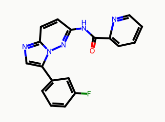 O=C(Nc1ccc2ncc(-c3cccc(F)c3)n2n1)c1ccccn1